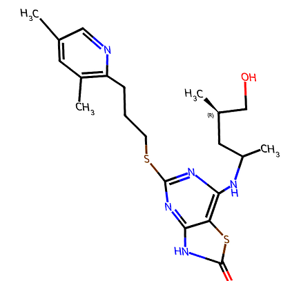 Cc1cnc(CCCSc2nc(NC(C)C[C@@H](C)CO)c3sc(=O)[nH]c3n2)c(C)c1